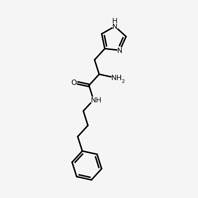 NC(Cc1c[nH]cn1)C(=O)NCCCc1ccccc1